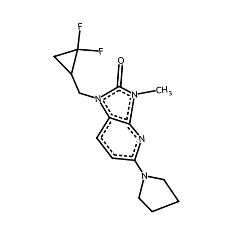 Cn1c(=O)n(CC2CC2(F)F)c2ccc(N3CCCC3)nc21